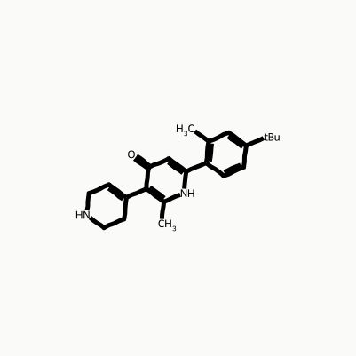 Cc1cc(C(C)(C)C)ccc1-c1cc(=O)c(C2=CCNCC2)c(C)[nH]1